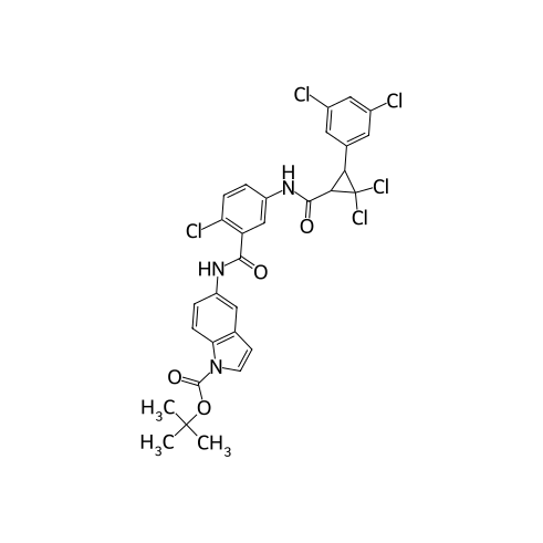 CC(C)(C)OC(=O)n1ccc2cc(NC(=O)c3cc(NC(=O)C4C(c5cc(Cl)cc(Cl)c5)C4(Cl)Cl)ccc3Cl)ccc21